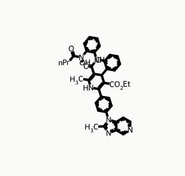 CCCC(=O)N(O)c1ccccc1NC(=O)C1=C(C)NC(c2ccc(-n3c(C)nc4cnccc43)cc2)=C(C(=O)OCC)C1c1ccccc1Cl